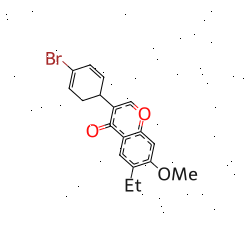 CCc1cc2c(=O)c(C3C=CC(Br)=CC3)coc2cc1OC